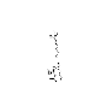 COC(=O)CCCCCCCCCCCC(C(C)C)C(C(=O)OC)C(C)C